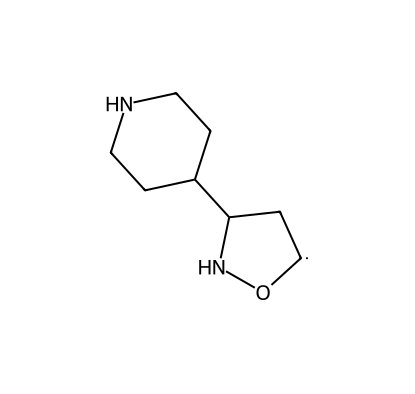 [CH]1CC(C2CCNCC2)NO1